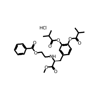 COC(=O)[C@H](Cc1ccc(OC(=O)C(C)C)c(OC(=O)C(C)C)c1)NCCOC(=O)c1ccccc1.Cl